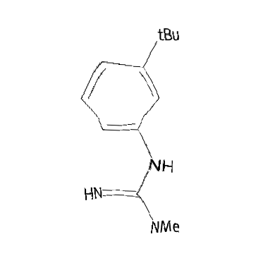 CNC(=N)Nc1cccc(C(C)(C)C)c1